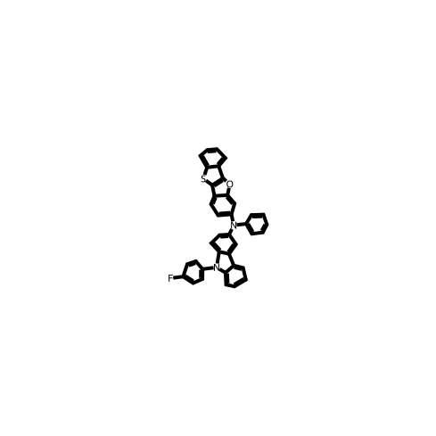 Fc1ccc(-n2c3ccccc3c3cc(N(c4ccccc4)c4ccc5c(c4)oc4c6ccccc6sc54)ccc32)cc1